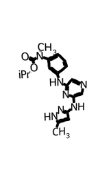 Cc1cc(Nc2cncc(Nc3cccc(N(C)C(=O)OC(C)C)c3)n2)n[nH]1